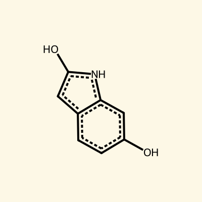 Oc1ccc2cc(O)[nH]c2c1